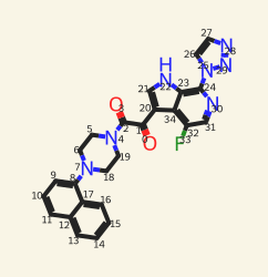 O=C(C(=O)N1CCN(c2cccc3ccccc23)CC1)c1c[nH]c2c(-n3ccnn3)ncc(F)c12